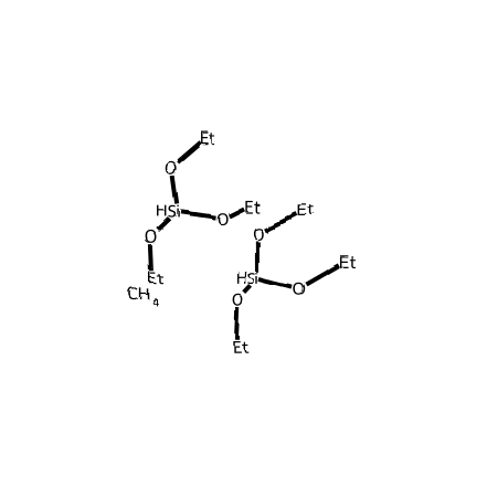 C.CCO[SiH](OCC)OCC.CCO[SiH](OCC)OCC